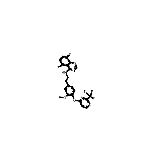 COc1cc(CCNc2ncnc3c(F)ccc(F)c23)ccc1Oc1ccnc(C(F)(F)F)n1